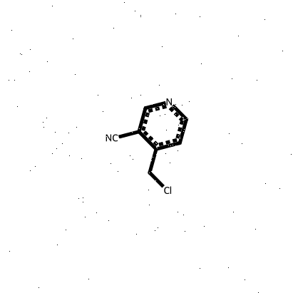 N#Cc1cnccc1CCl